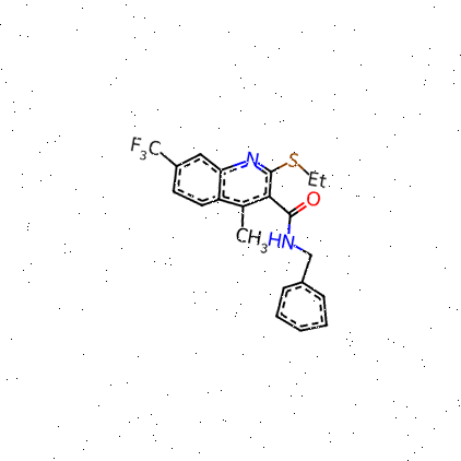 CCSc1nc2cc(C(F)(F)F)ccc2c(C)c1C(=O)NCc1ccccc1